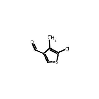 Cc1c([C]=O)csc1Cl